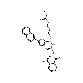 CCC(=O)CCCCC[C@H](NC(=O)Cn1nc(C)c2ccccc2c1=O)c1ncc(-c2ccc3ccccc3c2)[nH]1